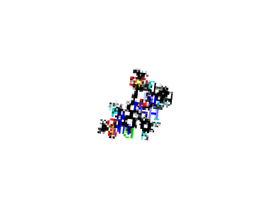 CC(C)(C#Cc1ccc(-c2ccc(Cl)c3c(NS(=O)(=O)C4CC4)nn(CC(F)(F)F)c23)c([C@H](Cc2cc(F)cc(F)c2)NC(=O)Cn2nc(C(F)F)c3c2C(F)(F)[C@@H]2CC[C@H]32)n1)S(=O)(=O)C1CC1